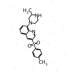 Cc1ccc(S(=O)(=O)c2cnc3c(N4CCNC(C)C4)cccc3c2)cc1